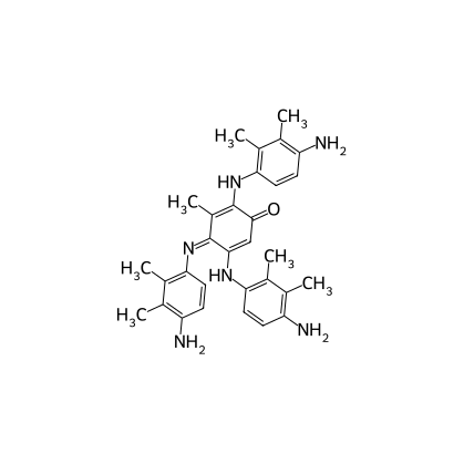 CC1=C(Nc2ccc(N)c(C)c2C)C(=O)C=C(Nc2ccc(N)c(C)c2C)/C1=N\c1ccc(N)c(C)c1C